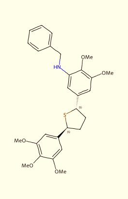 COc1cc([C@@H]2CC[C@@H](c3cc(OC)c(OC)c(OC)c3)S2)cc(NCc2ccccc2)c1OC